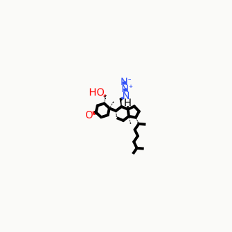 CC(C)CCCC(C)[C@H]1CC[C@H]2[C@H](CN=[N+]=[N-])[C@@H]([C@@]3(C)CCC(=O)C[C@@H]3CO)CC[C@]12C